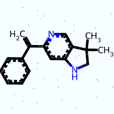 C=C(c1ccccc1)c1cc2c(cn1)C(C)(C)CN2